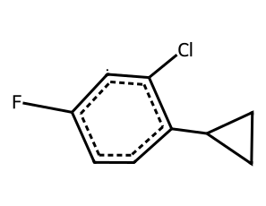 Fc1[c]c(Cl)c(C2CC2)cc1